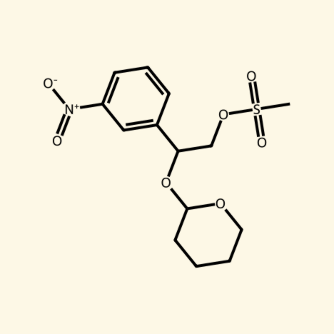 CS(=O)(=O)OCC(OC1CCCCO1)c1cccc([N+](=O)[O-])c1